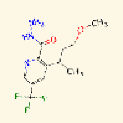 COCC[C@H](C)c1cc(C(F)(F)F)cnc1C(=O)NN